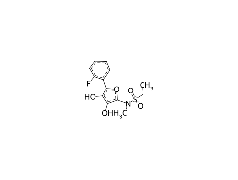 CCS(=O)(=O)N(C)c1oc(-c2ccccc2F)c(O)c1O